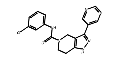 O=C(Nc1cccc(Cl)c1)N1CCc2[nH]nc(-c3cncnc3)c2C1